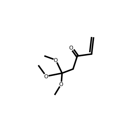 C=CC(=O)CC(OC)(OC)OC